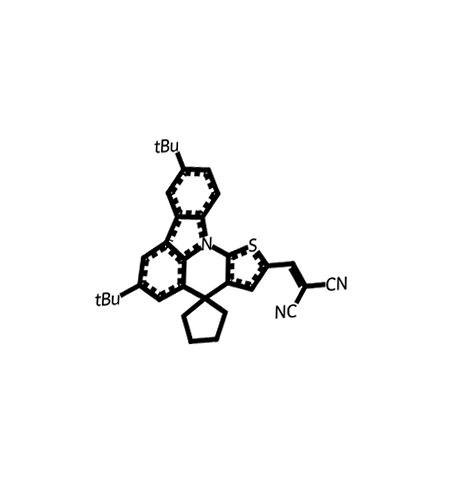 CC(C)(C)c1ccc2c(c1)c1cc(C(C)(C)C)cc3c1n2-c1sc(C=C(C#N)C#N)cc1C31CCCC1